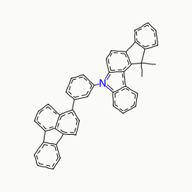 CC1(C)c2ccccc2-c2ccc3c(c21)c1ccccc1n3-c1cccc(-c2ccc3c4c(cccc24)-c2ccccc2-3)c1